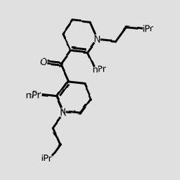 CCCC1=C(C(=O)C2=C(CCC)N(CCC(C)C)CCC2)CCCN1CCC(C)C